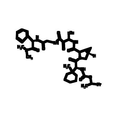 CCCCC(NC(=O)C1C2C[C@H]2CN1C(=O)[C@@H](NC(=O)OC(C)C(C)C)C1(C)CCCCC1)C(=O)C(=O)NCC(=O)N[C@H](C(=O)N(C)C)c1ccccc1